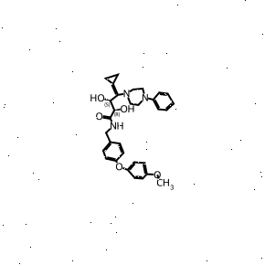 COc1ccc(Oc2ccc(CNC(=O)[C@H](O)[C@@H](O)C(=C3CC3)N3CCN(c4ccccc4)CC3)cc2)cc1